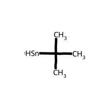 C[C](C)(C)[SnH]